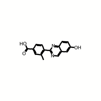 Cc1cc(C(=O)O)ccc1-c1ncc2cc(O)ccc2n1